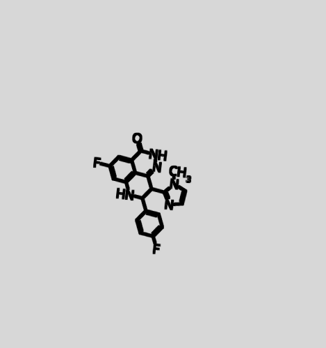 Cn1ccnc1C1c2n[nH]c(=O)c3cc(F)cc(c23)NC1c1ccc(F)cc1